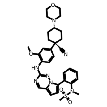 COc1cc([C@]2(C#N)CC[C@H](N3CCOCC3)CC2)ccc1Nc1ncc2ccc(-c3ccccc3N(C)S(C)(=O)=O)n2n1